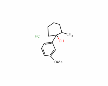 COc1cccc(C2(O)CCCCC2C)c1.Cl